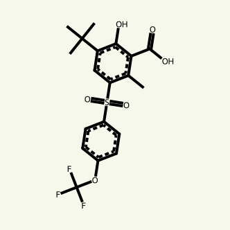 Cc1c(S(=O)(=O)c2ccc(OC(F)(F)F)cc2)cc(C(C)(C)C)c(O)c1C(=O)O